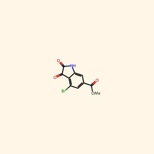 COC(=O)c1cc(Br)c2c(c1)NC(=O)C2=O